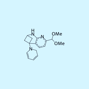 COC(OC)c1ccc2c(n1)NC1CC2(N2C=CC=CC2)C1